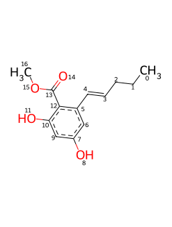 CCCC=Cc1cc(O)cc(O)c1C(=O)OC